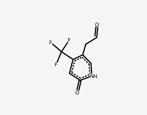 O=CCc1c[nH]c(=O)cc1C(F)(F)F